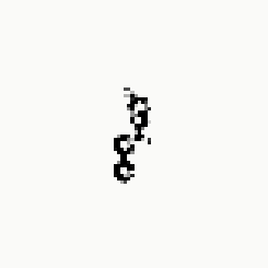 O=C(c1cc2ncc(Cl)cn2n1)N1CCC=C(c2cccnc2)C1